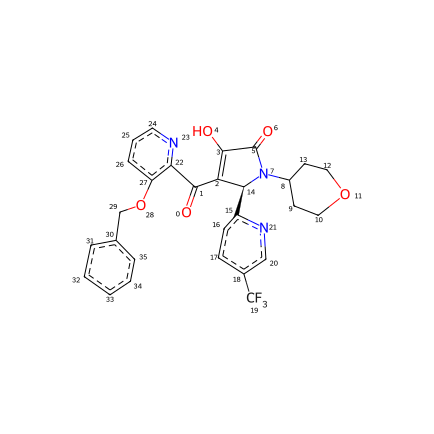 O=C(C1=C(O)C(=O)N(C2CCOCC2)[C@H]1c1ccc(C(F)(F)F)cn1)c1ncccc1OCc1ccccc1